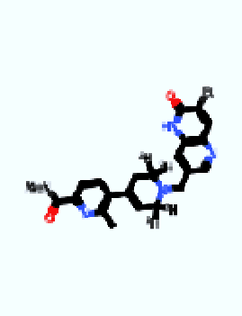 [2H]C1([2H])C=C(c2ccc(C(=O)NC)nc2C)CC([2H])([2H])N1Cc1cnc2cc(CC)c(=O)[nH]c2c1